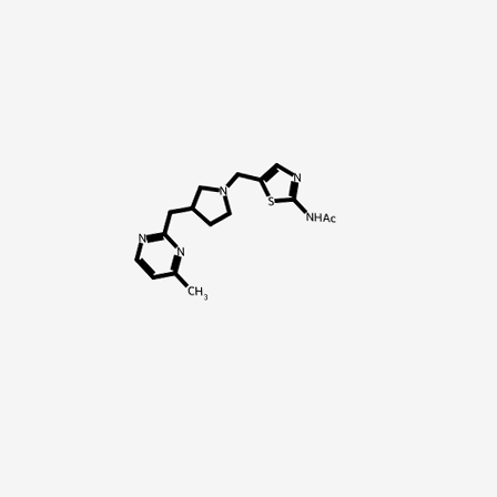 CC(=O)Nc1ncc(CN2CCC(Cc3nccc(C)n3)C2)s1